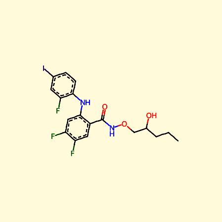 CCCC(O)CONC(=O)c1cc(F)c(F)cc1Nc1ccc(I)cc1F